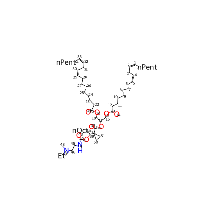 CCCCC/C=C\C/C=C\CCCCCCCC(=O)OCC(COC(=O)CCCCCCC/C=C\C/C=C\CCCCC)OC(=O)C1(C(CCCCCCCC)OC(=O)NCCN(C)CC)CC1